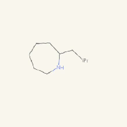 CC(C)CC1CCCCCN1